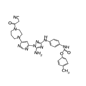 Cc1ccc(OC(=O)Nc2ccc(Nc3nc(N)n(-c4cc(N5CCCN(C(=O)CC#N)CC5)ncn4)n3)cc2)cc1